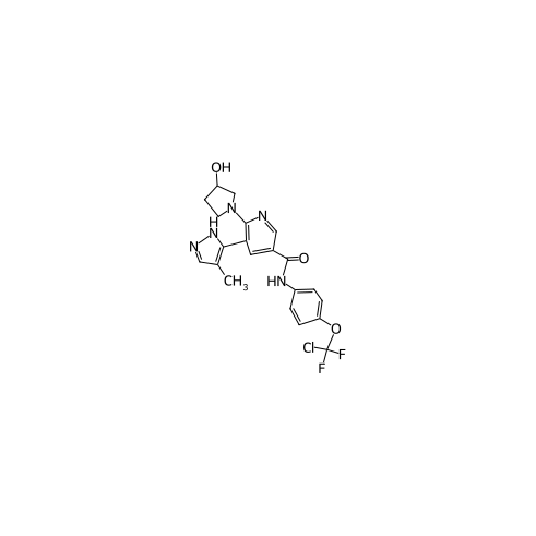 Cc1cn[nH]c1-c1cc(C(=O)Nc2ccc(OC(F)(F)Cl)cc2)cnc1N1CCC(O)C1